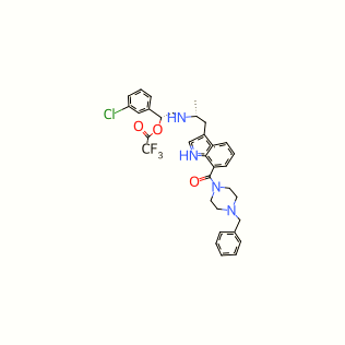 C[C@H](Cc1c[nH]c2c(C(=O)N3CCN(Cc4ccccc4)CC3)cccc12)NC[C@H](OC(=O)C(F)(F)F)c1cccc(Cl)c1